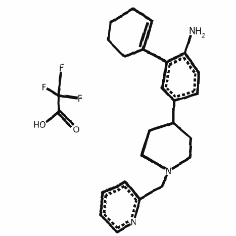 Nc1ccc(C2CCN(Cc3ccccn3)CC2)cc1C1=CCCCC1.O=C(O)C(F)(F)F